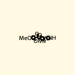 COc1ccc(-c2cc3ccc(N4CCNCC4)cc3oc2=O)c(OC)c1